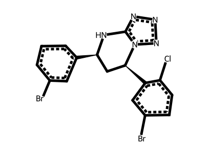 Clc1ccc(Br)cc1[C@H]1C[C@@H](c2cccc(Br)c2)Nc2nnnn21